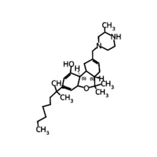 CCCCCCC(C)(C)C1=CC2OC(C)(C)[C@H]3CC=C(CN4CCNC(C)C4)CC3[C@@H]2C(O)=C1